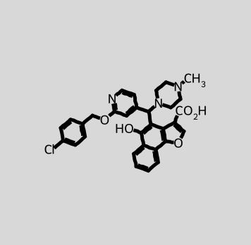 CN1CCN(C(c2ccnc(OCc3ccc(Cl)cc3)c2)c2c(O)c3ccccc3c3occ(C(=O)O)c23)CC1